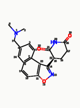 CN(C)Cc1ccc2c(ccc3onc([C@@H]4CCC(=O)NC4=O)c32)c1